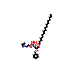 CCCCCCCCCCCCCCCCCCOCC(COP(O)OCCN1CCC1)OCc1ccccc1